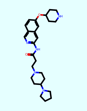 O=C(CCN1CCC(N2CCCC2)CC1)Nc1cc2cc(OC3CCNCC3)ccc2cn1